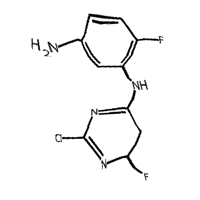 Nc1ccc(F)c(NC2=NC(Cl)=NC(F)C2)c1